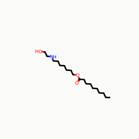 CCCCCCCCCC(=O)OCCCCCCCNCCO